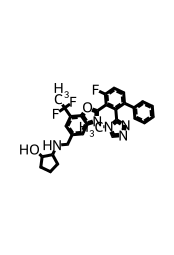 Cn1cnnc1-c1c(-c2ccccc2)ccc(F)c1-c1nc2cc(CNC3CCCC3O)cc(C(C)(F)F)c2o1